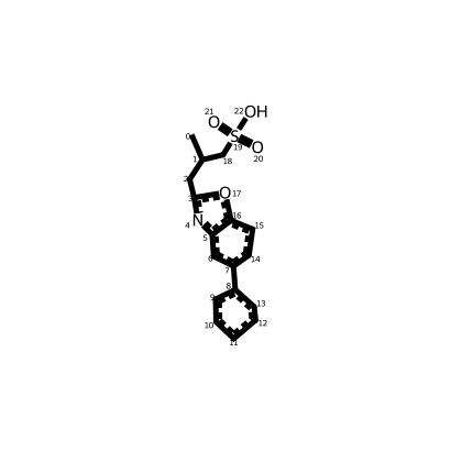 CC(Cc1nc2cc(-c3ccccc3)ccc2o1)CS(=O)(=O)O